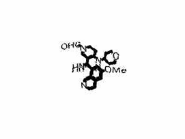 COc1cc(C(=N)C2=C(NC3CCOCC3)CCN(C=O)C2)c2cnccc2c1